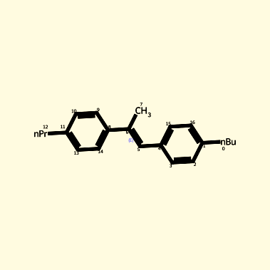 CCCCc1ccc(/C=C(\C)c2ccc(CCC)cc2)cc1